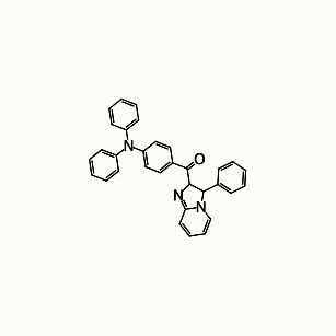 O=C(c1ccc(N(c2ccccc2)c2ccccc2)cc1)C1N=C2C=CC=CN2C1c1ccccc1